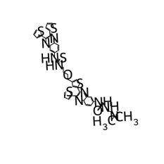 CN(C)CCNC(=O)Nc1ccc2nc(-c3cccs3)c(-c3cc(COCCNC(=S)Nc4ccc5nc(-c6cccs6)c(-c6cccs6)nc5c4)cs3)nc2c1